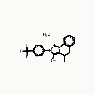 CC1Cc2ccccc2N2[N]N(c3ccc(C(F)(F)F)cc3)C(O)=C12.O